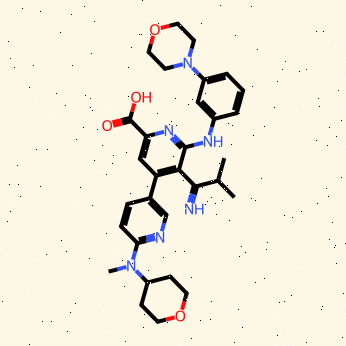 CC(C)C(=N)c1c(-c2ccc(N(C)C3CCOCC3)nc2)cc(C(=O)O)nc1Nc1cccc(N2CCOCC2)c1